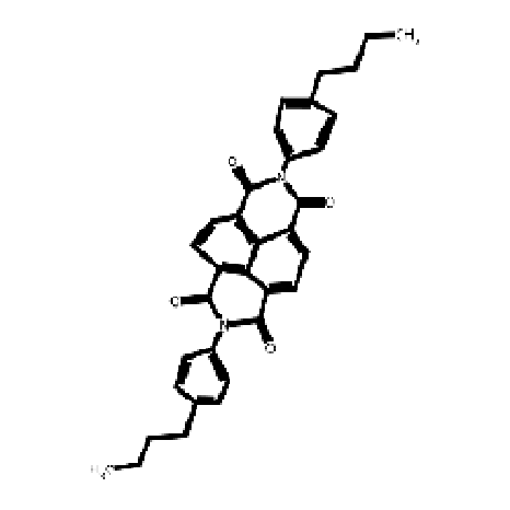 CCCCc1ccc(N2C(=O)c3ccc4c5c(ccc(c35)C2=O)C(=O)N(c2ccc(CCCC)cc2)C4=O)cc1